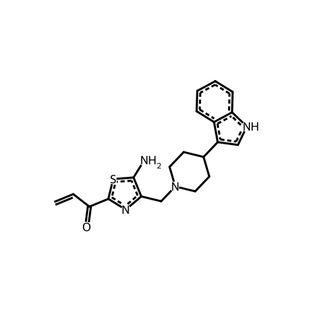 C=CC(=O)c1nc(CN2CCC(c3c[nH]c4ccccc34)CC2)c(N)s1